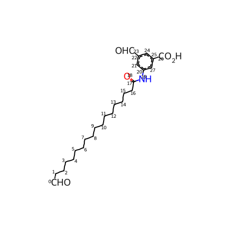 O=CCCCCCCCCCCCCCCCCC(=O)Nc1cc(C=O)cc(C(=O)O)c1